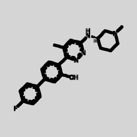 Cc1cc(N[C@H]2CCCN(C)C2)nnc1-c1ccc(-c2ccc(F)cc2)cc1O